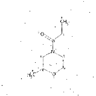 [CH2]CC(=O)N1CCOC(C)C1